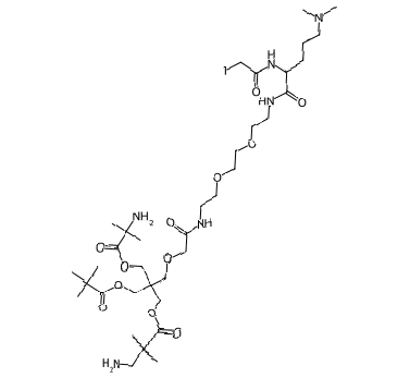 CN(C)CCCC(NC(=O)CI)C(=O)NCCOCCOCCNC(=O)COCC(COC(=O)C(C)(C)C)(COC(=O)C(C)(C)N)COC(=O)C(C)(C)CN